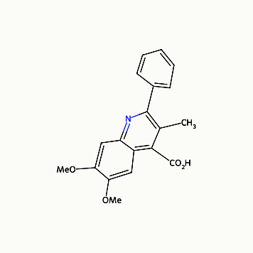 COc1cc2nc(-c3ccccc3)c(C)c(C(=O)O)c2cc1OC